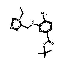 CCn1cncc1CNc1cc(C(=O)OC(C)(C)C)ccc1N